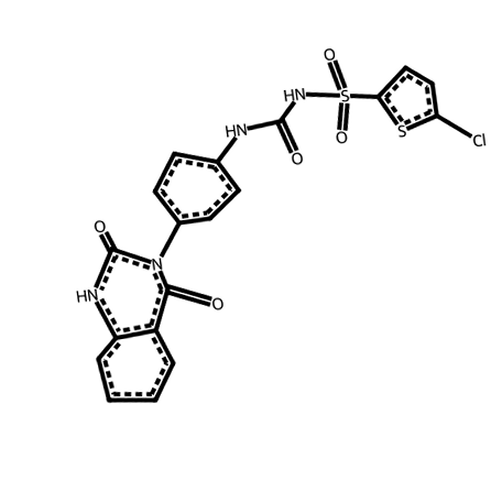 O=C(Nc1ccc(-n2c(=O)[nH]c3ccccc3c2=O)cc1)NS(=O)(=O)c1ccc(Cl)s1